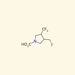 O=C(O)N1CC(CF)C(C(F)(F)F)C1